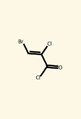 O=C(Cl)C(Cl)=CBr